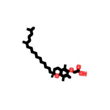 Cc1c(C)c2c(c(C)c1OCC(=O)O)CC[C@@](C)(CCCCCCCCCCCC(C)CCCC(C)C)O2